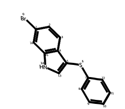 Brc1ccc2c(Sc3ccccc3)c[nH]c2c1